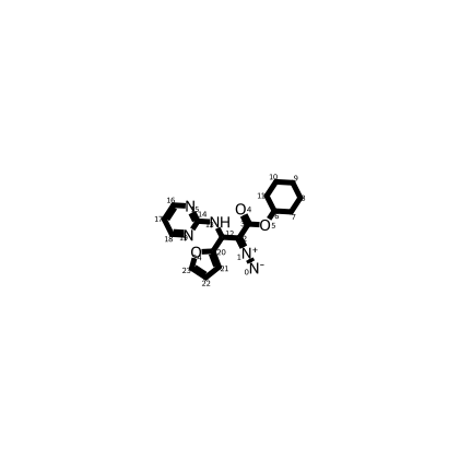 [N-]=[N+]=C(C(=O)OC1CCCCC1)C(Nc1ncccn1)c1ccco1